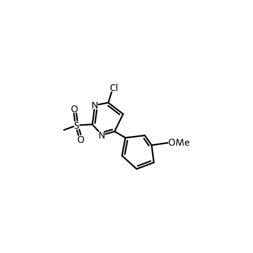 COc1cccc(-c2cc(Cl)nc(S(C)(=O)=O)n2)c1